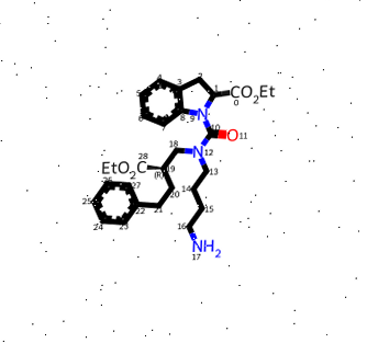 CCOC(=O)C1Cc2ccccc2N1C(=O)N(CCCCN)C[C@@H](CCc1ccccc1)C(=O)OCC